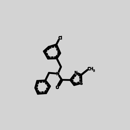 Cc1nc(C(=O)N(Cc2ccccc2)Cc2cccc(Cl)c2)cs1